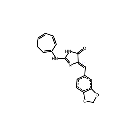 O=C1NC(NC2=CCC=CC=C2)=N/C1=C\c1ccc2c(c1)OCO2